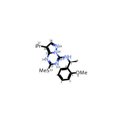 COc1ccccc1[C@H](C)Nc1nc(SC)nc2c(C(C)C)cnn12